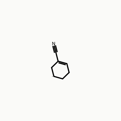 N#CC1=CCC[CH]C1